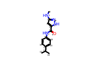 CNc1cc(C(=O)Nc2ccc(C(C)C)cc2)[nH]n1